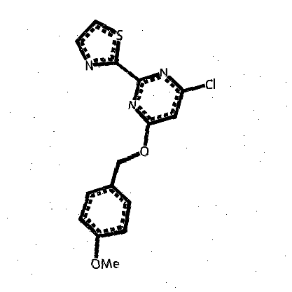 COc1ccc(COc2cc(Cl)nc(-c3nccs3)n2)cc1